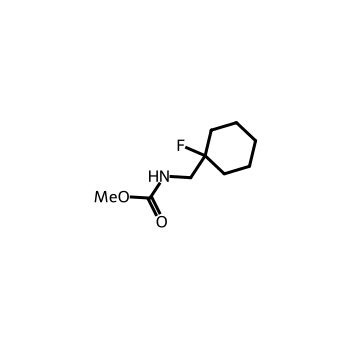 COC(=O)NCC1(F)CCCCC1